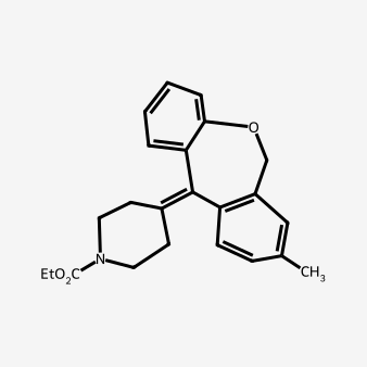 CCOC(=O)N1CCC(=C2c3ccc(C)cc3COc3ccccc32)CC1